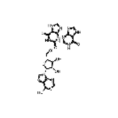 O=c1[nH]c(=O)c2[nH]cnc2[nH]1.O=c1[nH]cnc2nc[nH]c12.OC[C@H]1O[C@@H](n2cnc3c(O)ncnc32)[C@H](O)[C@@H]1O